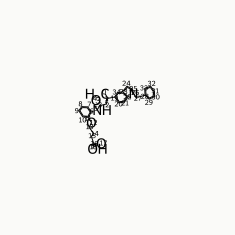 CC(=CC(=O)Nc1ccccc1OCCCC(=O)O)c1ccc2c(ccn2Cc2ccccc2)c1